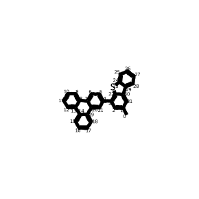 Cc1cc(-c2ccc3c4ccccc4c4ccccc4c3c2)c2sc3ccccc3c2c1